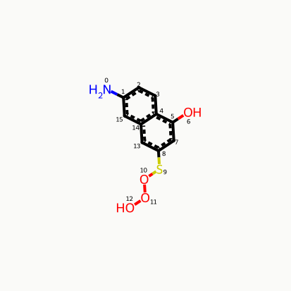 Nc1ccc2c(O)cc(SOOO)cc2c1